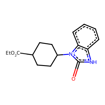 CCOC(=O)C1CCC(n2c(=O)[nH]c3ccccc32)CC1